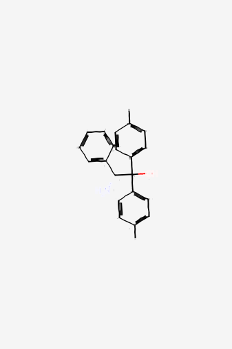 Cc1ccc(C(O)(c2ccc(C)cc2)[C@H](N)c2ccccc2)cc1